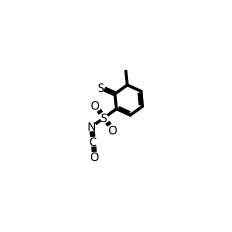 CC1C=CC=C(S(=O)(=O)N=C=O)C1=S